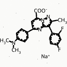 Cc1nn2c(C(=O)[O-])cc(-c3ccc(N(C)C)cc3)nc2c1-c1ccc(F)cc1F.[Na+]